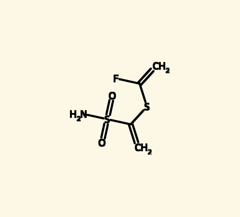 C=C(F)SC(=C)S(N)(=O)=O